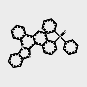 O=P(c1ccccc1)(c1ccccc1)c1cccc2c1ccc1c3ccccc3n3c4ccccc4nc3c21